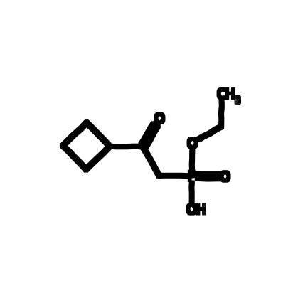 CCOP(=O)(O)CC(=O)C1CCC1